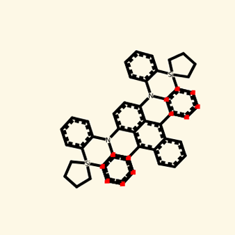 c1ccc(-c2c3ccccc3c(-c3ccccc3)c3c(N4c5ccccc5[Si]5(CCCC5)c5ccccc54)ccc(N4c5ccccc5[Si]5(CCCC5)c5ccccc54)c23)cc1